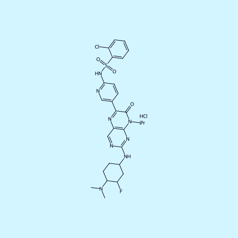 CC(C)n1c(=O)c(-c2ccc(NS(=O)(=O)c3ccccc3Cl)nc2)nc2cnc(NC3CCC(N(C)C)C(F)C3)nc21.Cl